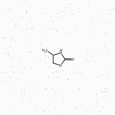 [CH2]C1COC(=O)N1